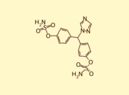 NS(=O)(=O)Oc1ccc(C(c2ccc(OS(N)(=O)=O)cc2)n2cncn2)cc1